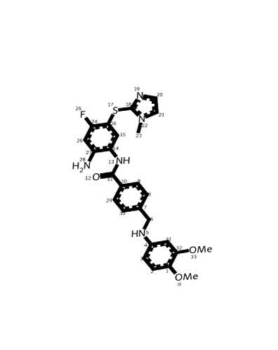 COc1ccc(NCc2ccc(C(=O)Nc3cc(Sc4nccn4C)c(F)cc3N)cc2)cc1OC